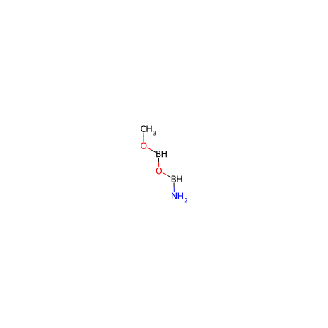 COBOBN